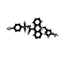 Cc1ccc(S(=O)(=O)NC(=O)c2c3ccccc3[n+](Cc3cn(C)nn3)c3ccccc23)cc1